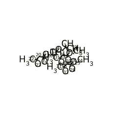 CC(C)C[O][Ti].CCOC(=O)CC(C)=O.CCOC(=O)CC(C)=O.CCOC(=O)CC(C)=O